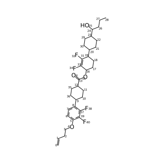 C=CCCOc1ccc(C2CCC(C(=O)OC3CCC(C4CCC(C(O)CCC)CC4)C(F)=C3F)CC2)c(F)c1F